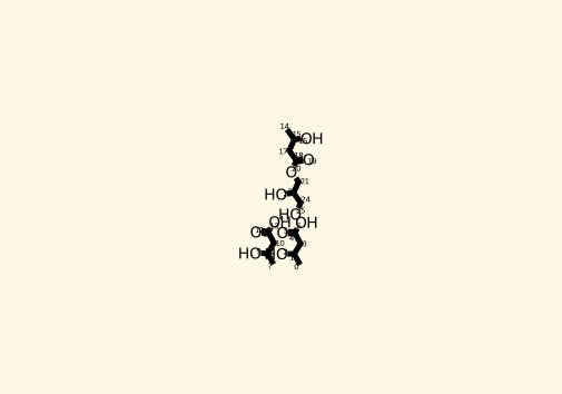 CC(O)CC(=O)O.CC(O)CC(=O)O.CC(O)CC(=O)OCC(O)CO